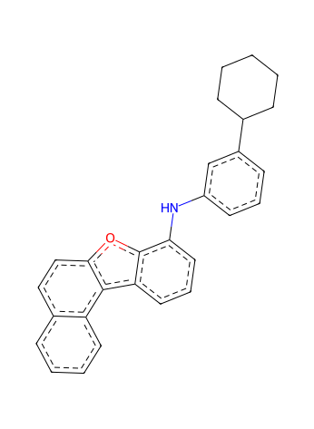 c1cc(Nc2cccc3c2oc2ccc4ccccc4c23)cc(C2CCCCC2)c1